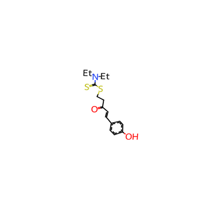 CCN(CC)C(=S)SCCC(=O)/C=C/c1ccc(O)cc1